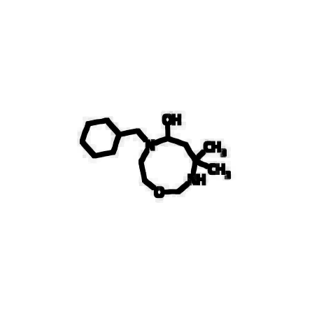 CC1(C)CC(O)N(CC2CCCCC2)CCOCN1